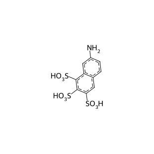 Nc1ccc2cc(S(=O)(=O)O)c(S(=O)(=O)O)c(S(=O)(=O)O)c2c1